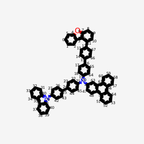 c1ccc2c(c1)oc1cccc(-c3ccc(-c4ccc(N(c5ccc(-c6ccc(-n7c8ccccc8c8ccccc87)cc6)cc5)c5ccc6c7ccccc7c7ccccc7c6c5)cc4)cc3)c12